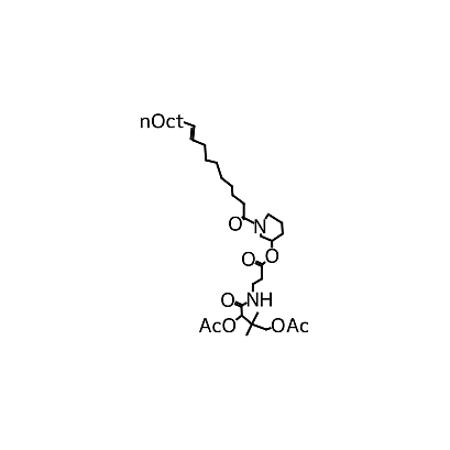 CCCCCCCCC=CCCCCCCCC(=O)N1CCCC(OC(=O)CCNC(=O)C(OC(C)=O)C(C)(C)COC(C)=O)C1